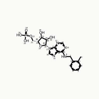 Cc1ccccc1CNc1ncnc2c1ncn2[C@@H]1O[C@H](COP(=O)(O)O)[C@@H](O)[C@H]1O